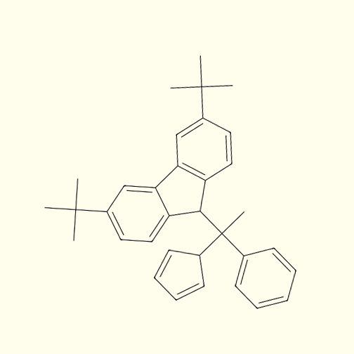 CC(C)(C)c1ccc2c(c1)-c1cc(C(C)(C)C)ccc1C2C(C)(c1ccccc1)C1C=CC=C1